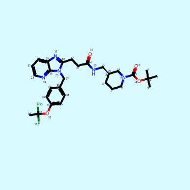 CC(C)(C)OC(=O)N1CCC[C@@H](CNC(=O)CCc2nc3cccnc3n2Cc2ccc(OC(C)(F)F)cc2)C1